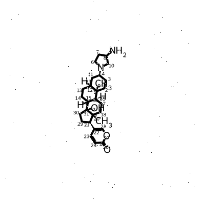 C[C@]12CC[C@H](N3CCC(N)C3)C[C@H]1CC[C@@H]1[C@@H]2CC[C@]2(C)[C@@H](c3ccc(=O)oc3)CC[C@]12O